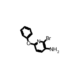 Nc1ccc(Oc2ccccc2)nc1Br